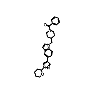 O=C(c1ccccc1)N1CCC(Cn2ccc3cc(-c4cnn(C5CCCCO5)c4)ccc32)CC1